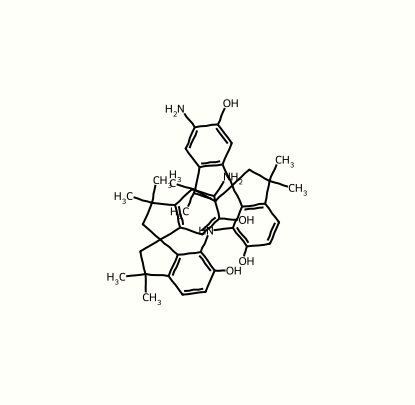 CC1(C)CC2(CC(C)(C)c3ccc(O)c(Nc4c(O)ccc5c4C4(CC(C)(C)c6cc(N)c(O)cc64)CC5(C)C)c32)c2cc(O)c(N)cc21